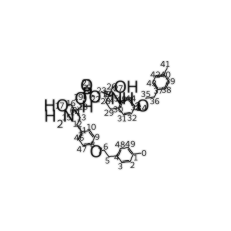 Cc1ccc(CCOc2ccc(CC[C@@](N)(CO)CO[PH](=O)OC[C@](N)(CO)CCc3ccc(OCCc4ccc(C)cc4)cc3)cc2)cc1